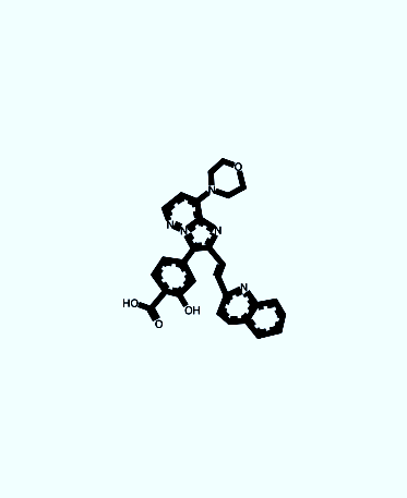 O=C(O)c1ccc(-c2c(C=Cc3ccc4ccccc4n3)nc3c(N4CCOCC4)ccnn23)cc1O